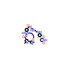 Cc1cc2cc(n1)-c1cnn(C)c1OCCC[C@@H](C)CN1/C(=N/C2=O)Nc2ccc(C(=O)N(C)CCNCCNc3cc(F)c([C@H]4CCC(=O)NC4=O)c(F)c3)cc21